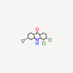 O=c1c2ccc(C3CC3)cc2[nH]c2c(Cl)c(Cl)ccc12